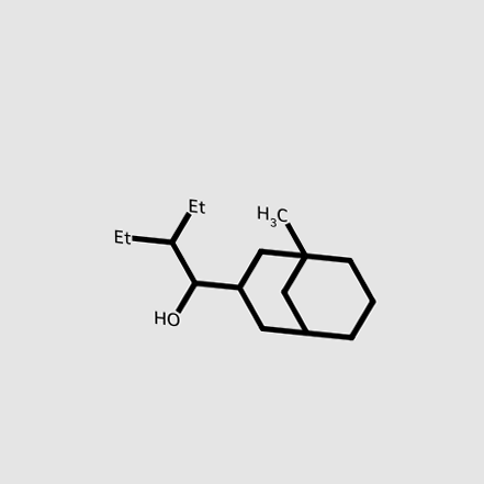 CCC(CC)C(O)C1CC2CCCC(C)(C2)C1